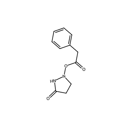 O=C1CCN(OC(=O)Cc2ccccc2)N1